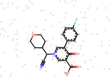 N#CC(C1CCOCC1)n1cc(C(=O)O)c(=O)c(-c2ccc(F)cc2)c1